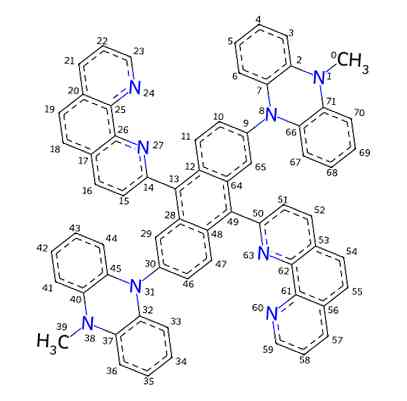 CN1c2ccccc2N(c2ccc3c(-c4ccc5ccc6cccnc6c5n4)c4cc(N5c6ccccc6N(C)c6ccccc65)ccc4c(-c4ccc5ccc6cccnc6c5n4)c3c2)c2ccccc21